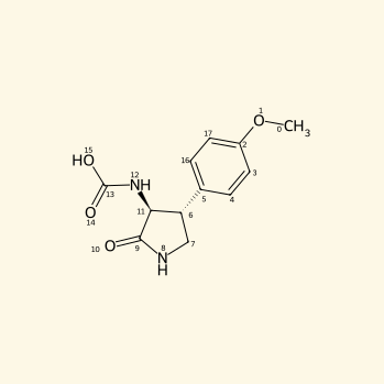 COc1ccc([C@@H]2CNC(=O)[C@H]2NC(=O)O)cc1